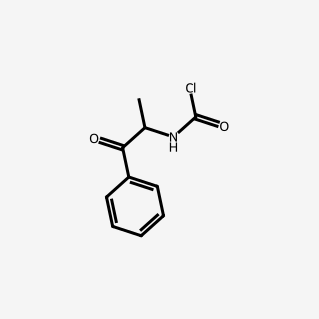 CC(NC(=O)Cl)C(=O)c1ccccc1